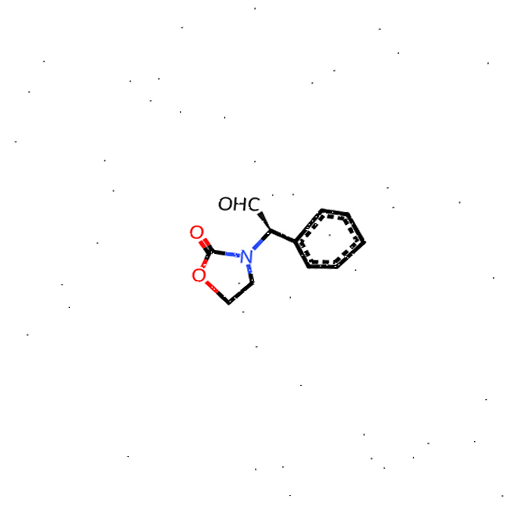 O=C[C@@H](c1ccccc1)N1CCOC1=O